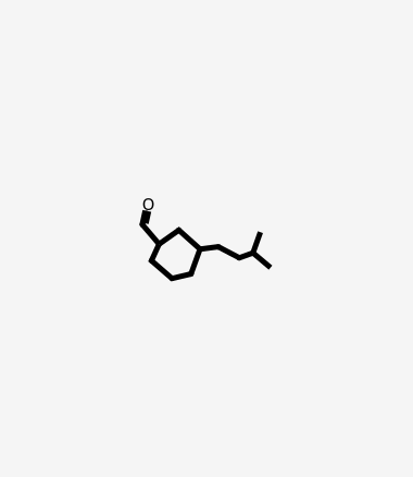 CC(C)CCC1CCCC(C=O)C1